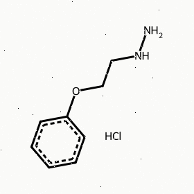 Cl.NNCCOc1ccccc1